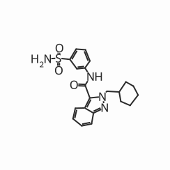 NS(=O)(=O)c1cccc(NC(=O)c2c3ccccc3nn2CC2CCCCC2)c1